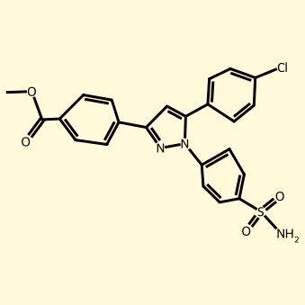 COC(=O)c1ccc(-c2cc(-c3ccc(Cl)cc3)n(-c3ccc(S(N)(=O)=O)cc3)n2)cc1